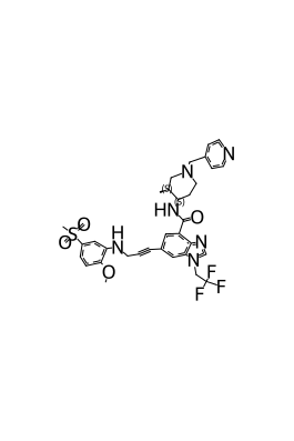 COc1ccc(S(C)(=O)=O)cc1NCC#Cc1cc(C(=O)N[C@H]2CCN(Cc3ccncc3)C[C@@H]2C)c2ncn(CC(F)(F)F)c2c1